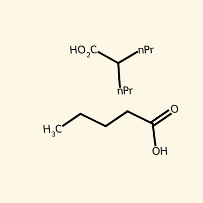 CCCC(CCC)C(=O)O.CCCCC(=O)O